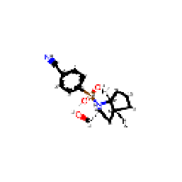 N#Cc1ccc(S(=O)(=O)N2[C@@H]3CCC[C@@H]3C[C@@H]2C=O)cc1